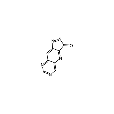 O=C1N=Nc2cc3ncncc3nc21